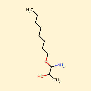 CCCCCCCCOC(N)C(C)O